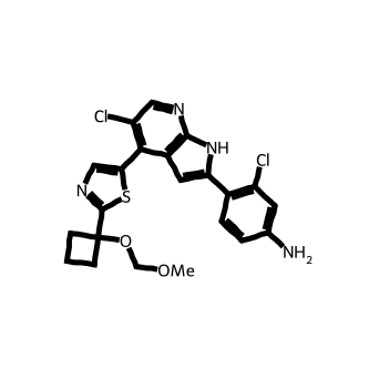 COCOC1(c2ncc(-c3c(Cl)cnc4[nH]c(-c5ccc(N)cc5Cl)cc34)s2)CCC1